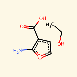 CCO.Nc1occc1C(=O)O